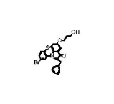 O=c1c(Cc2ccccc2)cn2c3c(cc(OCCCO)cc13)Sc1ccc(Br)cc1-2